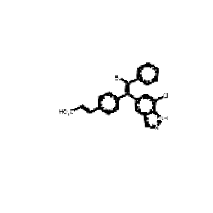 CCC(=C(c1ccc(C=CC(=O)O)cc1)c1cc(Cl)c2[nH]ncc2c1)c1ccccc1